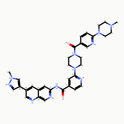 CN1CCN(c2ccc(C(=O)N3CCN(c4cc(C(=O)Nc5cc6cc(-c7cnn(C)c7)cnc6cn5)ccn4)CC3)cn2)CC1